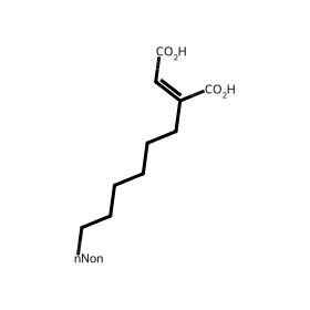 CCCCCCCCCCCCCCC/C(=C/C(=O)O)C(=O)O